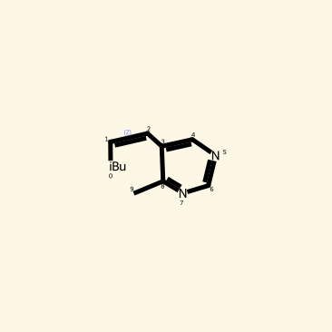 CCC(C)/C=C\c1cncnc1C